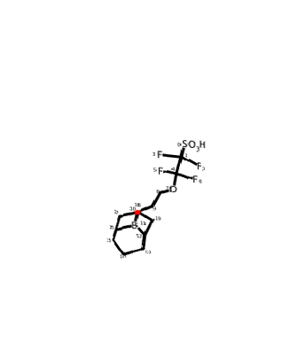 O=S(=O)(O)C(F)(F)C(F)(F)OCCCB1C2CCCC1CCC2